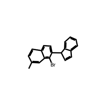 Cc1ccc2ccc(C3C=Cc4ccccc43)c(Br)c2c1